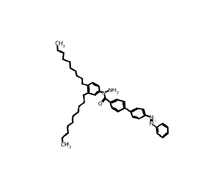 CCCCCCCCCCc1ccc(N(N)C(=O)c2ccc(-c3ccc(/N=N/c4ccccc4)cc3)cc2)cc1CCCCCCCCCC